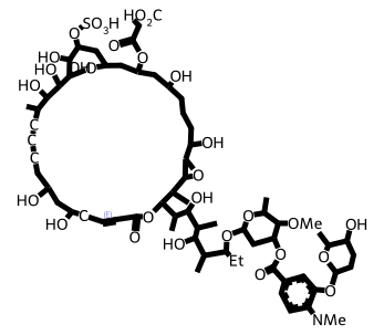 CCC(OC1CC(OC(=O)c2ccc(NC)c(OC3CCC(O)C(C)O3)c2)C(OC)C(C)O1)C(C)C(O)C(C)C(O)C(C)C1OC(=O)/C=C/CC(O)CC(O)CCCCC(C)C(O)C(O)C2(O)OC(CC(OC(=O)CC(=O)O)CC(O)CCCC(O)C3OC3C1C)CC(OS(=O)(=O)O)C2O